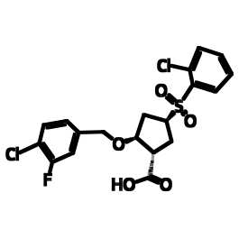 O=C(O)[C@H]1C[C@H](S(=O)(=O)c2ccccc2Cl)C[C@@H]1OCc1ccc(Cl)c(F)c1